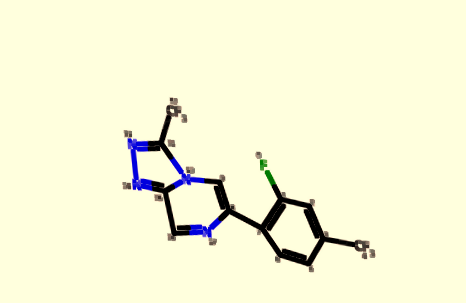 Fc1cc(C(F)(F)F)ccc1-c1cn2c(C(F)(F)F)nnc2cn1